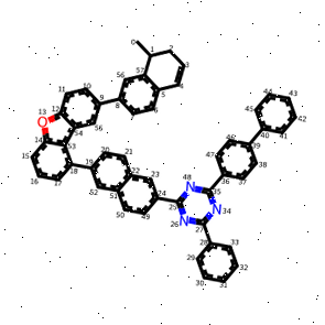 CC1CC=Cc2ccc(-c3ccc4oc5cccc(-c6ccc7cc(-c8nc(-c9ccccc9)nc(-c9ccc(-c%10ccccc%10)cc9)n8)ccc7c6)c5c4c3)cc21